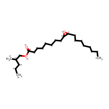 CCCCCCCCC1OC1CCCCCCCC(=O)OCC(C)CCC